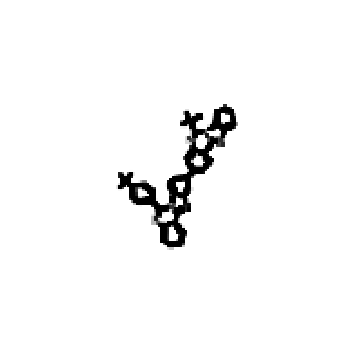 CC(C)(C)c1ccc(-c2nc3ccccc3c3nc4cc(-c5ccc6c(c5)nc(C(C)(C)C)n5c7ccccc7nc65)ccc4n23)cc1